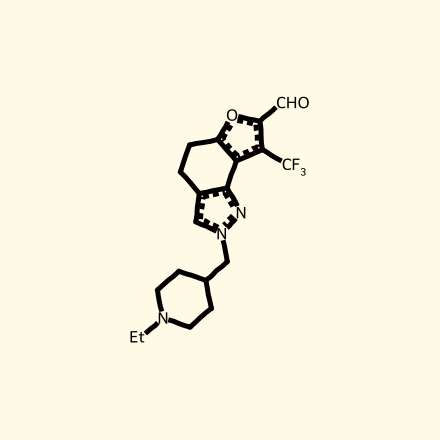 CCN1CCC(Cn2cc3c(n2)-c2c(oc(C=O)c2C(F)(F)F)CC3)CC1